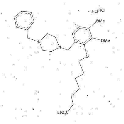 CCOC(=O)CCCCCCOc1c(CN2CCN(Cc3ccccc3)CC2)ccc(OC)c1OC.Cl.Cl